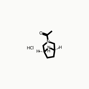 CC(=O)N1C[C@H]2CC[C@@H](C1)N2.Cl